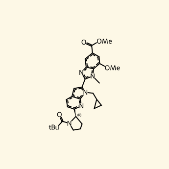 COC(=O)c1cc(OC)c2c(c1)nc(-c1cc3ccc([C@H]4CCCN4C(=O)C(C)(C)C)nc3n1CC1CC1)n2C